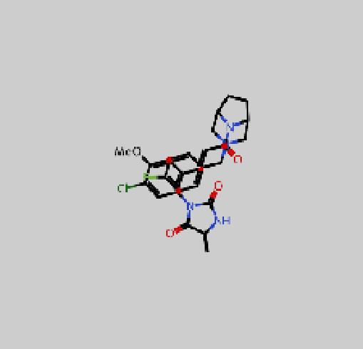 COc1cc(C=CC(=O)N2C3CCC2CN(Cc2ccc(F)cc2)C3)c(N2C(=O)NC(C)C2=O)cc1Cl